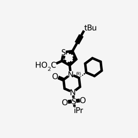 CC(C)S(=O)(=O)N1CC(=O)N(c2cc(C#CC(C)(C)C)sc2C(=O)O)[C@H](C2CCCCC2)C1